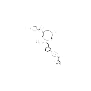 C/C(=C\c1cc(F)cc(N2CCN(C(=O)c3cnco3)CC2)c1)[C@H]1OC(=O)C[C@H](O)CC[C@H](C)[C@@H](OC(=O)N2CCN(C)CC2)/C=C/[C@@H]1C